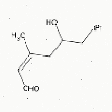 CC(=CC=O)CC(O)CC(C)C